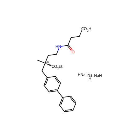 CCOC(=O)[C@@](C)(CCNC(=O)CCC(=O)O)Cc1ccc(-c2ccccc2)cc1.[NaH].[NaH].[NaH]